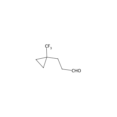 O=CCCC1(C(F)(F)F)CC1